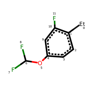 [CH2]Cc1ccc(OC(F)F)cc1F